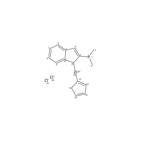 CP(C)C1=Cc2ccccc2[CH]1[Zr+2][C]1=CC=CC1.[Cl-].[Cl-]